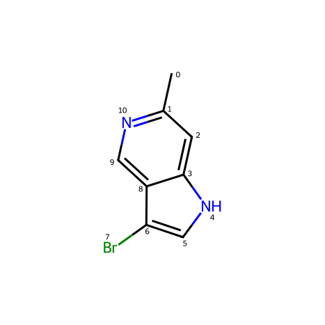 Cc1cc2[nH]cc(Br)c2cn1